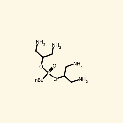 CCCCP(=O)(OC(CN)CN)OC(CN)CN